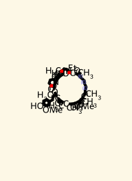 CCO[C@H]1C[C@@H]2CC[C@@H](C)[C@@](O)(O2)C(=O)C(=O)N2CCCC[C@H]2C(=O)O[C@H]([C@H](C)Cc2ccc(O)c(OC)c2)CC(=O)[C@H](C)CC(C)[C@@H](O)[C@@H](OC)C(=O)[C@H](C)C[C@H](C)/C=C/C=C/C=C/1C